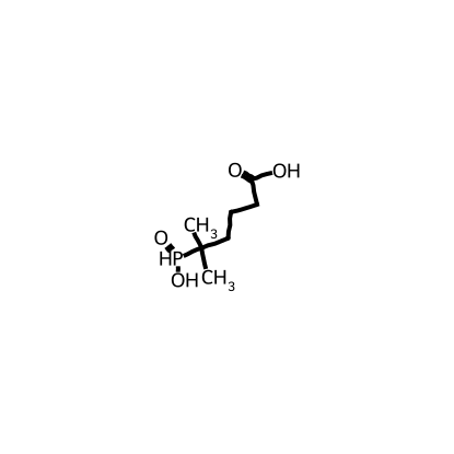 CC(C)(CCCC(=O)O)[PH](=O)O